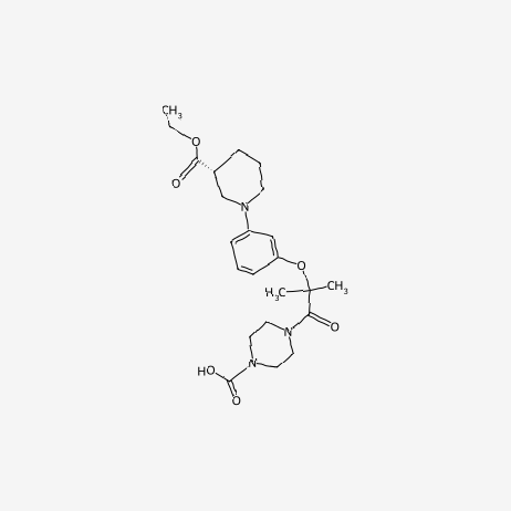 CCOC(=O)[C@@H]1CCCN(c2cccc(OC(C)(C)C(=O)N3CCN(C(=O)O)CC3)c2)C1